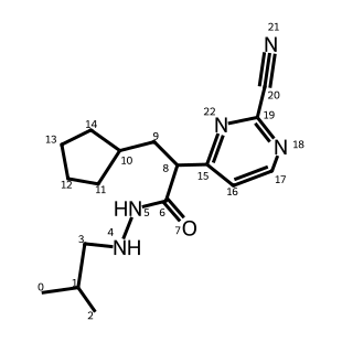 CC(C)CNNC(=O)C(CC1CCCC1)c1ccnc(C#N)n1